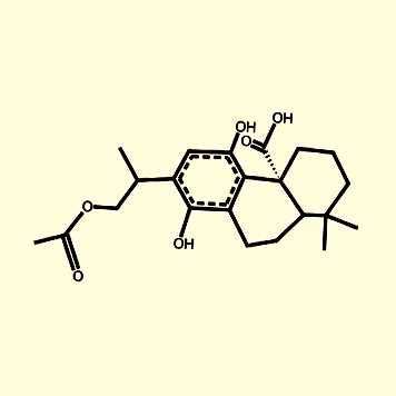 CC(=O)OCC(C)c1cc(O)c2c(c1O)CCC1C(C)(C)CCC[C@]21C(=O)O